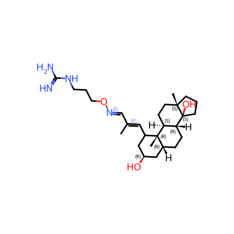 CC(/C=N/OCCCNC(=N)N)=C\C1C[C@H](O)C[C@H]2CC[C@@H]3[C@H](CC[C@]4(C)CCC[C@]34O)[C@@]12C